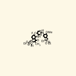 CCOP(=O)(Cc1ccc(Nc2ncc(C(F)(F)F)c(Nc3cccc4c3c(=O)c(C)cn4CP(=O)(OCC)OCC)n2)c(OC)c1)OCC